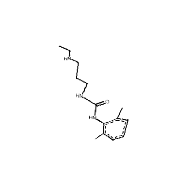 CCNCCCNC(=O)Nc1c(C)cccc1C